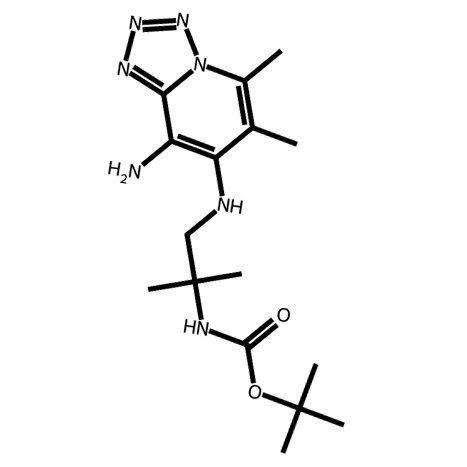 Cc1c(NCC(C)(C)NC(=O)OC(C)(C)C)c(N)c2nnnn2c1C